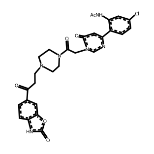 CC(=O)Nc1cc(Cl)ccc1-c1cc(=O)n(CC(=O)N2CCN(CCC(=O)c3ccc4[nH]c(=O)oc4c3)CC2)cn1